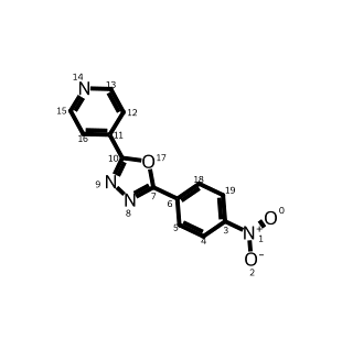 O=[N+]([O-])c1ccc(-c2nnc(-c3ccncc3)o2)cc1